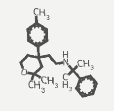 Cc1ccc(C2(CCNC(C)(C)c3ccccc3)CCOC(C)(C)C2)cc1